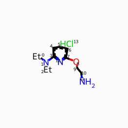 CCN(CC)c1cccc(OCCN)n1.Cl